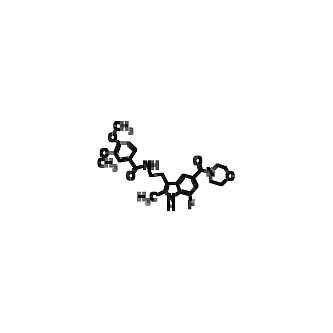 COc1ccc(C(=O)NCCc2c(C)[nH]c3c(F)cc(C(=O)N4CCOCC4)cc23)cc1OC